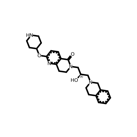 O=C1c2ccc(OC3CCNCC3)nc2CCN1C[C@H](O)CN1CCc2ccccc2C1